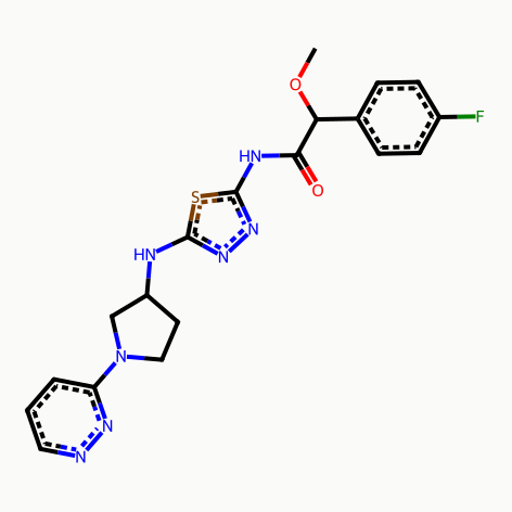 COC(C(=O)Nc1nnc(NC2CCN(c3cccnn3)C2)s1)c1ccc(F)cc1